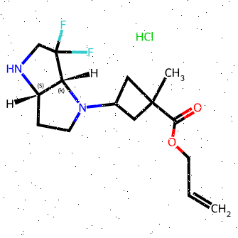 C=CCOC(=O)C1(C)CC(N2CC[C@@H]3NCC(F)(F)[C@@H]32)C1.Cl